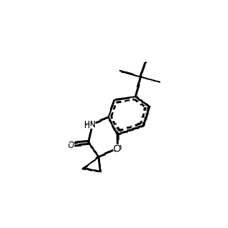 CC(C)(C)c1ccc2c(c1)NC(=O)C1(CC1)O2